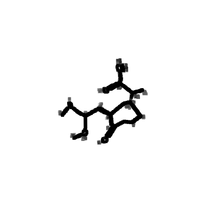 COC(CC1C(=O)CC[C@H]1C(C)C(=O)O)OC